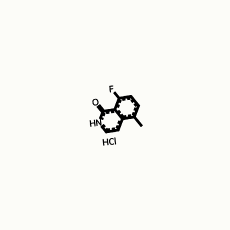 Cc1ccc(F)c2c(=O)[nH]ccc12.Cl